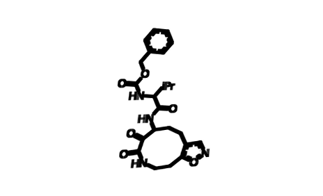 CC(C)C(NC(=O)OCc1ccccc1)C(=O)NC1CCc2cnoc2CCNC(=O)C1=O